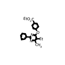 CCOC(=O)c1ccc(Oc2nc(-c3ccccc3)nc(C)c2CC)cc1